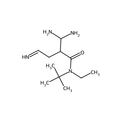 CCN(C(=O)C(CC=N)C(N)N)C(C)(C)C